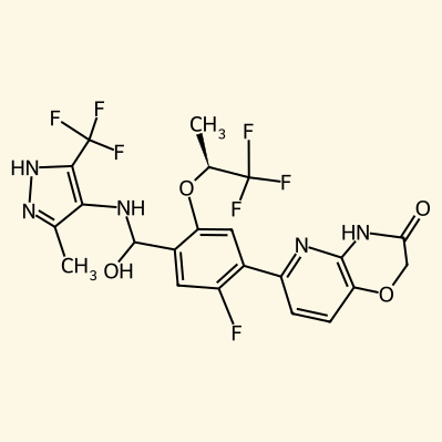 Cc1n[nH]c(C(F)(F)F)c1NC(O)c1cc(F)c(-c2ccc3c(n2)NC(=O)CO3)cc1O[C@@H](C)C(F)(F)F